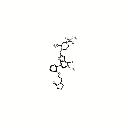 CC1CN(S(C)(=O)=O)CCN1Cc1cc2c(=O)n(C)cc(-c3ccncc3OCCN3CCCC3=O)c2o1